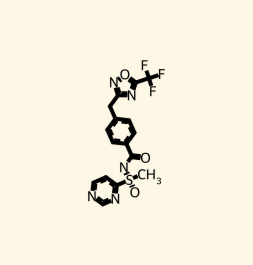 CS(=O)(=NC(=O)c1ccc(Cc2noc(C(F)(F)F)n2)cc1)c1ccncn1